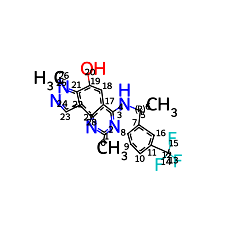 Cc1nc(N[C@H](C)c2cccc(C(F)(F)F)c2)c2cc(O)c3c(cnn3C)c2n1